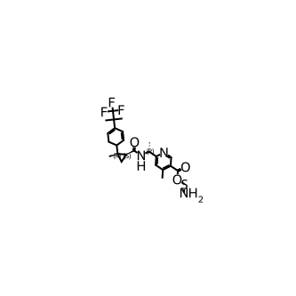 Cc1cc([C@@H](C)NC(=O)[C@H]2C[C@]2(C)C2C=CC(C(C)(C)C(F)(F)F)=CC2)ncc1C(=O)OSN